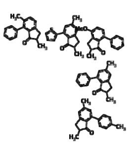 COc1ccc(-c2ccccc2)c2c1CC(C)C2=O.Cc1cc2c(c(-c3ccccc3)c1)C(=O)C(C)C2.Cc1cc2c(c(-c3cccs3)c1)C(=O)C(C)C2.Cc1ccc(-c2cc(C)cc3c2C(=O)C(C)C3)cc1.Cc1ccc2c(c1-c1ccccc1)C(=O)C(C)C2